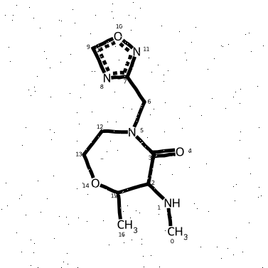 CNC1C(=O)N(Cc2ncon2)CCOC1C